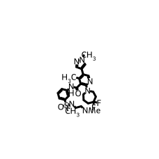 CNCCN=[S@](C)(=O)c1cccc(NC(=O)c2c(N3CCCC(F)(F)CC3)ncc(-c3cnn(C)c3)c2C)c1